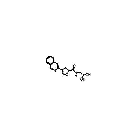 O=C(NCB(O)O)C1CC(c2cc3ccccc3cn2)=NO1